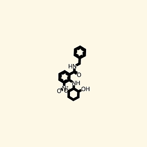 O=C(NCc1ccccc1)c1cccc([N+](=O)[O-])c1NC1CCCCC1O